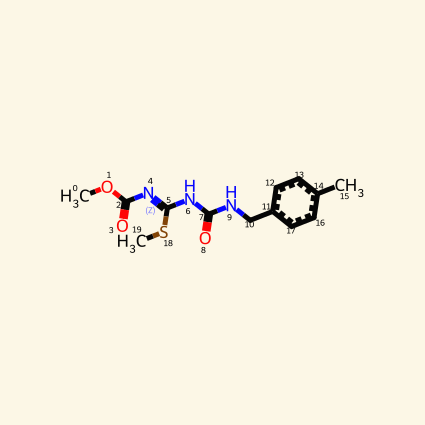 COC(=O)/N=C(/NC(=O)NCc1ccc(C)cc1)SC